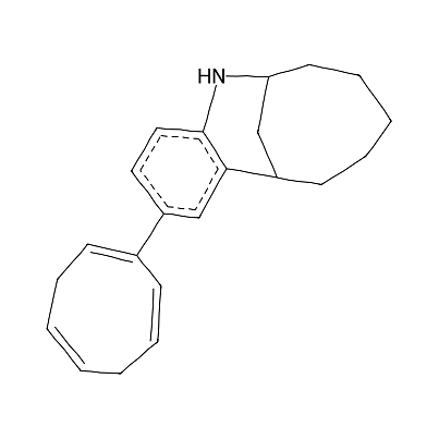 C1=C\C/C=C(c2ccc3c(c2)C2CCCCCC(C2)N3)\C=C/C/1